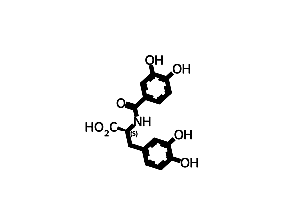 O=C(N[C@@H](Cc1ccc(O)c(O)c1)C(=O)O)c1ccc(O)c(O)c1